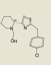 OCN1CCCC[C@@H]1c1csc(Cc2ccc(Cl)cc2)n1